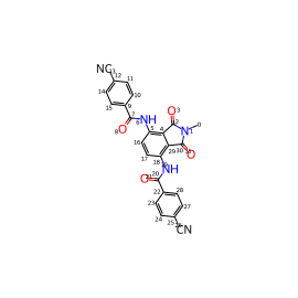 CN1C(=O)c2c(NC(=O)c3ccc(C#N)cc3)ccc(NC(=O)c3ccc(C#N)cc3)c2C1=O